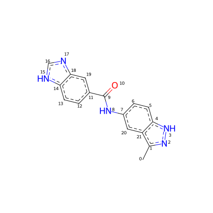 Cc1n[nH]c2ccc(NC(=O)c3ccc4[nH]cnc4c3)cc12